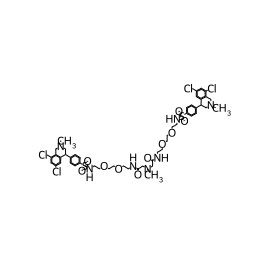 CN(CC(=O)NCCOCCOCCNS(=O)(=O)c1ccc(C2CN(C)Cc3c(Cl)cc(Cl)cc32)cc1)CC(=O)NCCOCCOCCNS(=O)(=O)c1ccc(C2CN(C)Cc3c(Cl)cc(Cl)cc32)cc1